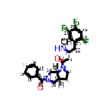 CN[C@@H](CC(=O)N1CC[C@H]2CN(C(=O)c3ccccc3)C[C@H]21)Cc1cc(F)c(F)cc1F